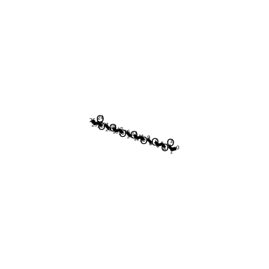 C=CC(=O)OCCOCCOCCOCCOCCOCCOC(=O)C=C